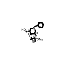 CC[C@@]1(C)O[C@@H]2[C@@H](CO)CN(Cc3ccccc3)C[C@H]2O[C@]1(C)OC